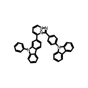 c1ccc(-n2c3ccccc3c3ccc(-c4cccn5nc(-c6ccc(-n7c8ccccc8c8ccccc87)cc6)n45)cc32)cc1